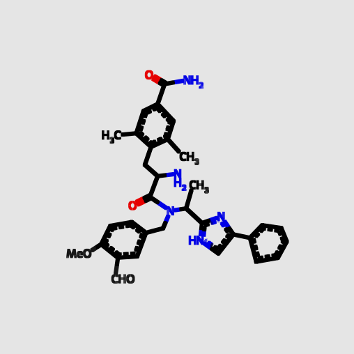 COc1ccc(CN(C(=O)C(N)Cc2c(C)cc(C(N)=O)cc2C)C(C)c2nc(-c3ccccc3)c[nH]2)cc1C=O